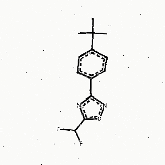 CC(C)(C)c1ccc(-c2noc(C(F)F)n2)cc1